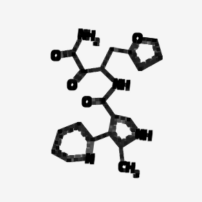 Cc1[nH]cc(C(=O)NC(Cc2ccco2)C(=O)C(N)=O)c1-c1ccccn1